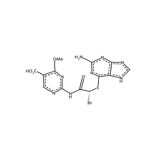 COc1nc(NC(=O)[C@H](Sc2nc(N)nc3nc[nH]c23)C(C)C)ncc1C(=O)O